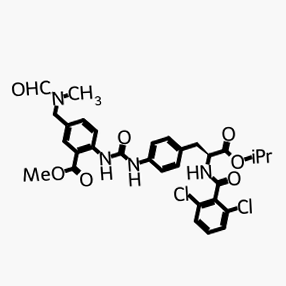 COC(=O)c1cc(CN(C)C=O)ccc1NC(=O)Nc1ccc(C[C@H](NC(=O)c2c(Cl)cccc2Cl)C(=O)OC(C)C)cc1